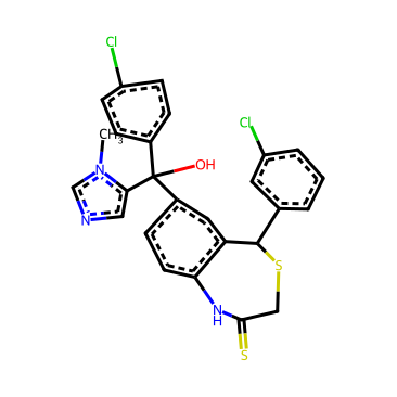 Cn1cncc1C(O)(c1ccc(Cl)cc1)c1ccc2c(c1)C(c1cccc(Cl)c1)SCC(=S)N2